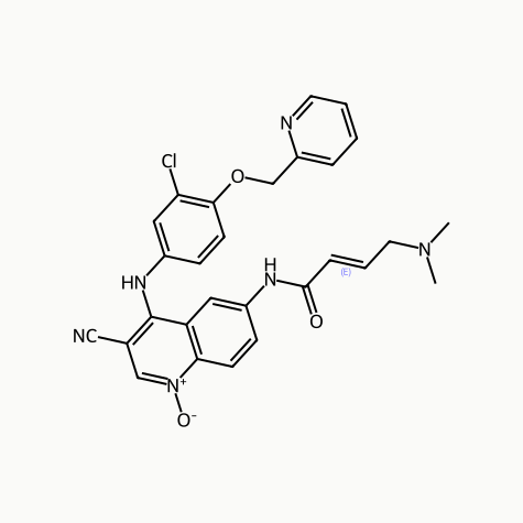 CN(C)C/C=C/C(=O)Nc1ccc2c(c1)c(Nc1ccc(OCc3ccccn3)c(Cl)c1)c(C#N)c[n+]2[O-]